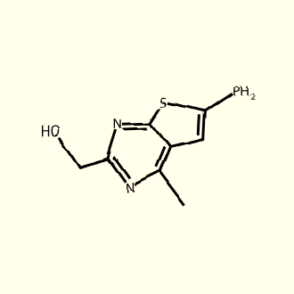 Cc1nc(CO)nc2sc(P)cc12